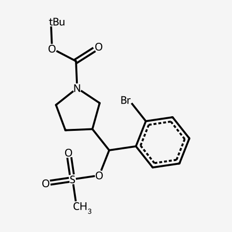 CC(C)(C)OC(=O)N1CCC(C(OS(C)(=O)=O)c2ccccc2Br)C1